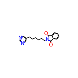 O=C1c2ccccc2C(=O)N1CCCCCCc1cncnc1